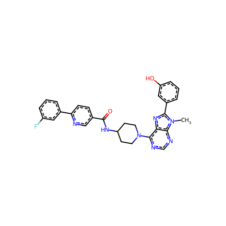 Cn1c(-c2cccc(O)c2)nc2c(N3CCC(NC(=O)c4ccc(-c5cccc(F)c5)nc4)CC3)ncnc21